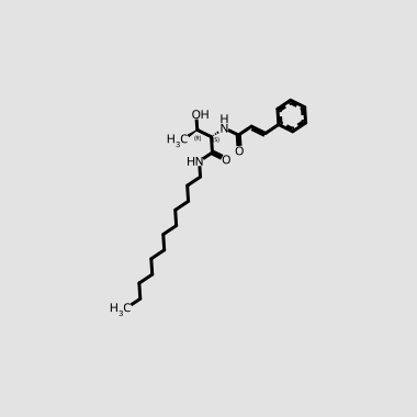 CCCCCCCCCCCCNC(=O)[C@@H](NC(=O)C=Cc1ccccc1)[C@@H](C)O